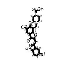 O=C1C(=Cc2n[nH]c3ccc(Cl)cc23)Oc2c1cc(Cl)c(O)c2CN1CCN(C(=O)O)CC1